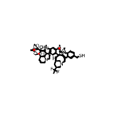 CC[C@]12C=CCN3CC[C@@]4(c5cc([C@@]6(C(=O)OC)C[C@H]7CC(C(C)(F)F)CN(Cc8c6[nH]c6ccc(CS)cc86)C7)c(OC)cc5N(C)[C@H]4[C@@](O)(C(=O)OC)[C@@H]1OC(C)=O)[C@@H]32